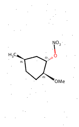 CO[C@H]1CC[C@@H](C)C[C@@H]1O[N+](=O)[O-]